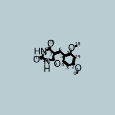 COc1ccc(C=C2C(=O)NC(=O)NC2=O)c(OC)c1